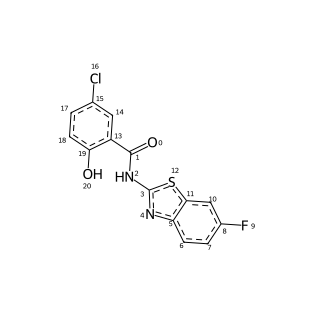 O=C(Nc1nc2ccc(F)cc2s1)c1cc(Cl)ccc1O